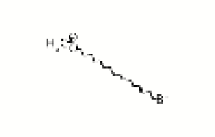 CC(=O)OCCCCCCCCCCCC/C=C/CCBr